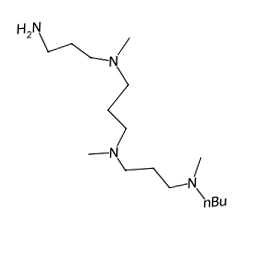 CCCCN(C)CCCN(C)CCCN(C)CCCN